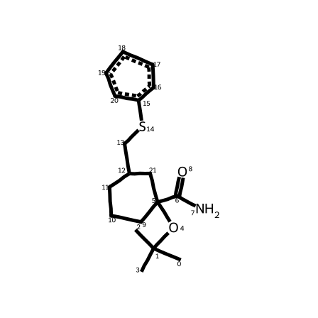 CC(C)(C)OC1(C(N)=O)CCCC(CSc2ccccc2)C1